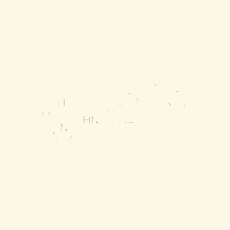 CCC(CC)(C(=O)N[C@@H](Cc1ccc(OCc2c(Cl)cccc2Cl)cc1)C(=O)O)C(=O)N1C[C@@H]2C[C@H]1CO2